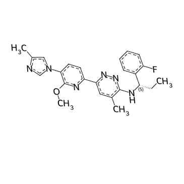 CC[C@H](Nc1nnc(-c2ccc(-n3cnc(C)c3)c(OC)n2)cc1C)c1ccccc1F